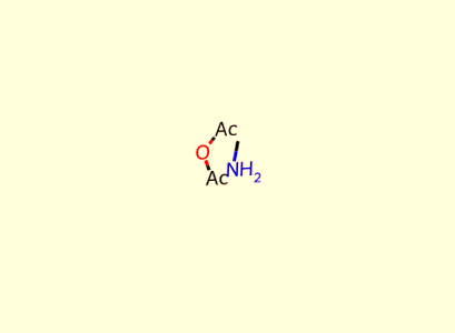 CC(=O)OC(C)=O.CN